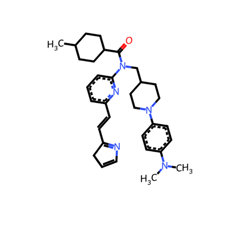 CC1CCC(C(=O)N(CC2CCN(c3ccc(N(C)C)cc3)CC2)c2cccc(/C=C/C3=NC=CC3)n2)CC1